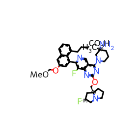 COCOc1cc(-c2ncc3c(N4CCC[C@@](C)(N)C4)nc(OC[C@@]45CCCN4C[C@H](F)C5)nc3c2F)c2c(CCCC(=O)O)cccc2c1